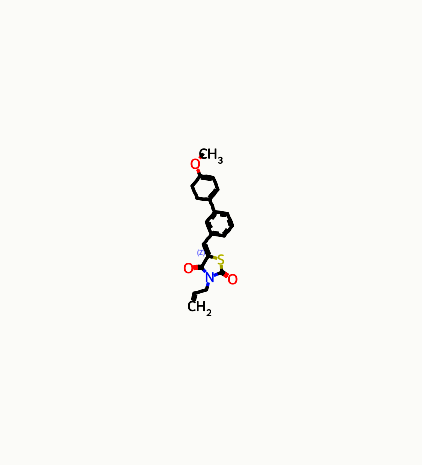 C=CCN1C(=O)S/C(=C\c2cccc(C3=CC=C(OC)CC3)c2)C1=O